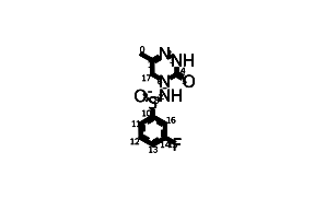 CC1=NNC(=O)N(N[S+]([O-])c2cccc(F)c2)C1